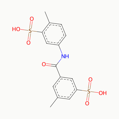 Cc1cc(C(=O)Nc2ccc(C)c(S(=O)(=O)O)c2)cc(S(=O)(=O)O)c1